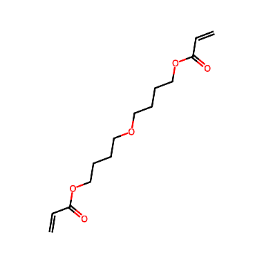 C=CC(=O)OCCCCOCCCCOC(=O)C=C